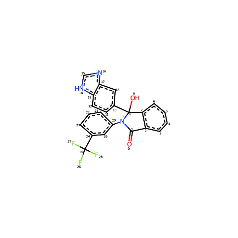 O=C1c2ccccc2C(O)(c2ccc3[nH][c]nc3c2)N1c1cccc(C(F)(F)F)c1